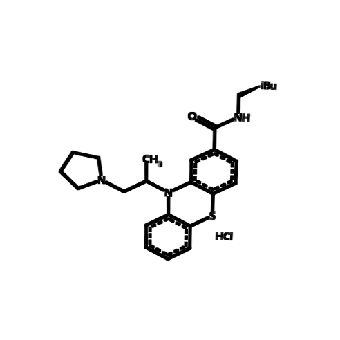 CC[C@H](C)CNC(=O)c1ccc2c(c1)N(C(C)CN1CCCC1)c1ccccc1S2.Cl